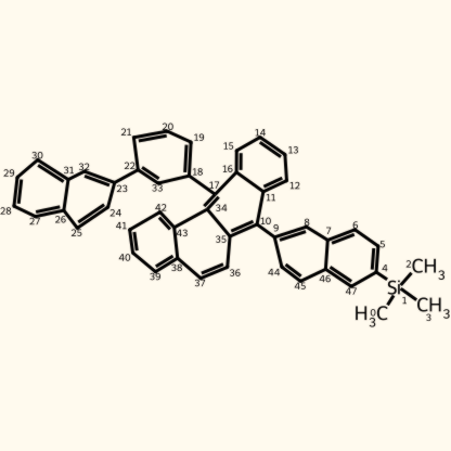 C[Si](C)(C)c1ccc2cc(-c3c4ccccc4c(-c4cccc(-c5ccc6ccccc6c5)c4)c4c3ccc3ccccc34)ccc2c1